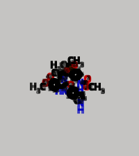 COC(=O)Nc1ccc(S(=O)(=O)C(C)C)c([C@H]2CCCN2C(=O)[C@H](Nc2ccc3c(c2)CNCC3)c2ccc(OC)c(OC)c2)c1